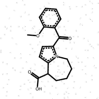 COc1ccccc1C(=O)c1ccc2n1CCCCC2C(=O)O